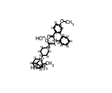 COc1ccc(C(=O)N(CC(=O)N2CCC([N+]34CC(NCC3C)C4(C)C)CC2)c2ccccc2)cc1.Cl